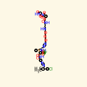 CC1(C)CCC(c2ccc(Cl)cc2)=C(CN2CCN(c3ccc(C(=O)N[S+]([O-])c4ccc(N[C@H](CCN5CCN(CCOCCOCCOCCNCCCCNC(=O)COc6cccc7c6C(=O)N(C6CCC(=O)NC6=O)C7=O)CC5)CSc5ccccc5)c(S(=O)(=O)C(F)(F)F)c4)cc3)CC2)C1